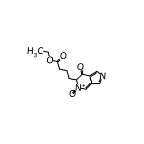 CCOC(=O)CCCC1C(=O)C2=CN=CC2=C[N+]1=O